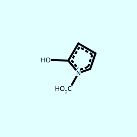 O=C(O)n1cccc1O